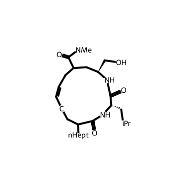 CCCCCCCC1CCC=CCC(C(=O)NC)C[C@@H](CO)NC(=O)[C@H](CC(C)C)NC1=O